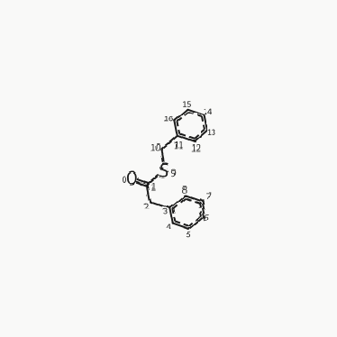 O=C(Cc1ccccc1)SCc1ccccc1